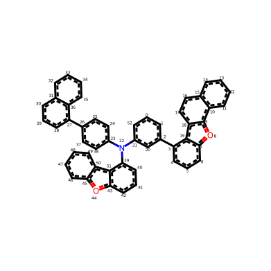 c1cc(-c2cccc3oc4c5ccccc5ccc4c23)cc(N(c2ccc(-c3cccc4ccccc34)cc2)c2cccc3oc4ccccc4c23)c1